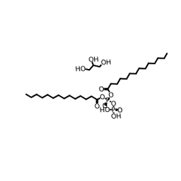 CCCCCCCCCCCCCC(=O)OP(=O)(OC(=O)CCCCCCCCCCCCC)OP(=O)(O)O.OCC(O)CO